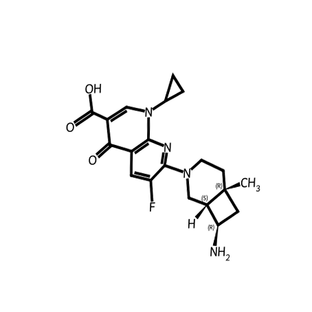 C[C@]12CCN(c3nc4c(cc3F)c(=O)c(C(=O)O)cn4C3CC3)C[C@H]1[C@H](N)C2